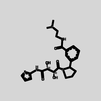 CN(C)CCNC(=O)c1cccc(C2CCCN2C(=O)[C@H](O)[C@@H](O)C(=O)Nc2cccs2)c1